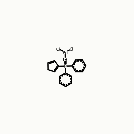 [Cl][Pd]([Cl])[Fe][PH](C1=CCC=C1)(c1ccccc1)c1ccccc1